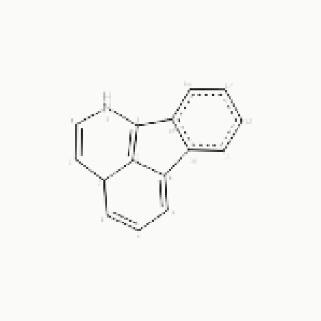 C1=CC2C=CNC3=C2C(=C1)c1ccccc13